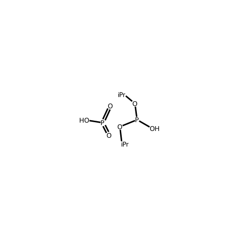 CC(C)OP(O)OC(C)C.O=P(=O)O